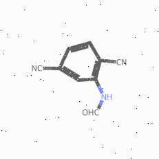 N#Cc1ccc(C#N)c(NC=O)c1